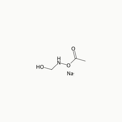 CC(=O)ONCO.[Na]